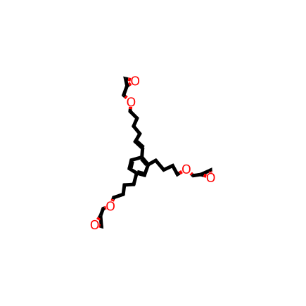 C(=Cc1ccc(CCCCOCC2CO2)cc1CCCCOCC1CO1)CCCCOCC1CO1